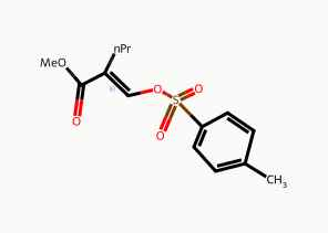 CCC/C(=C\OS(=O)(=O)c1ccc(C)cc1)C(=O)OC